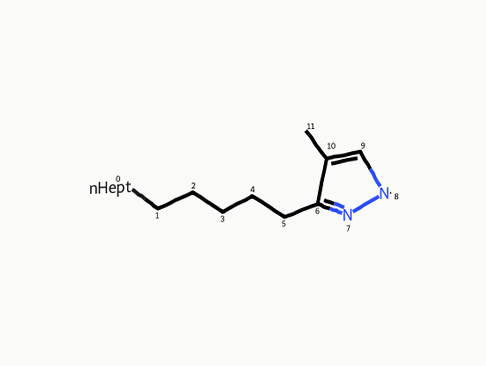 CCCCCCCCCCCCC1=N[N]C=C1C